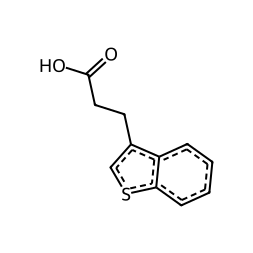 O=C(O)CCc1csc2ccccc12